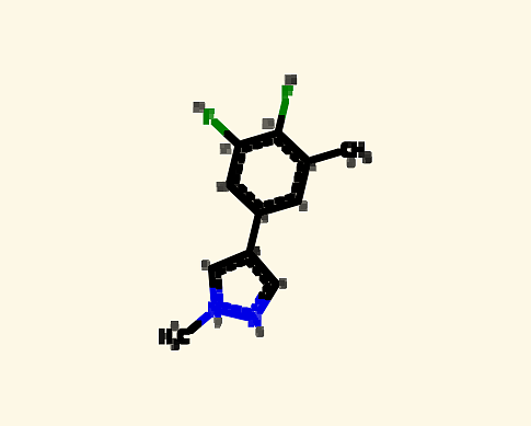 Cc1cc(-c2cnn(C)c2)cc(F)c1F